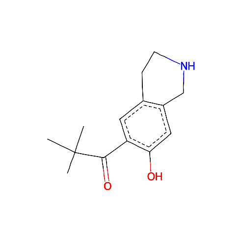 CC(C)(C)C(=O)c1cc2c(cc1O)CNCC2